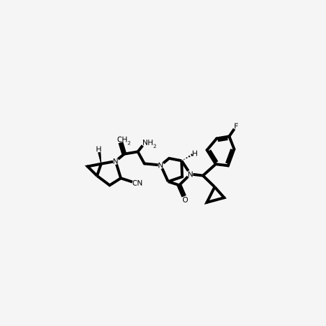 C=C(C(N)CN1C[C@@H]2CC1C(=O)N2C(c1ccc(F)cc1)C1CC1)N1C(C#N)CC2C[C@@H]21